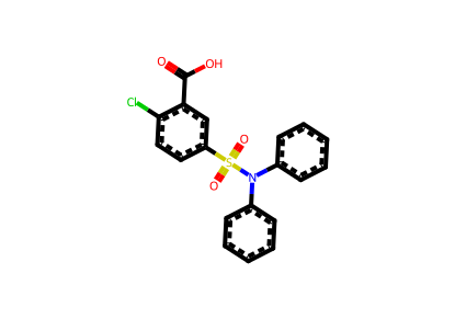 O=C(O)c1cc(S(=O)(=O)N(c2ccccc2)c2ccccc2)ccc1Cl